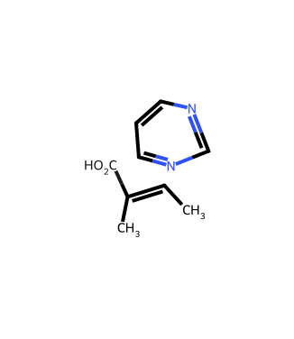 CC=C(C)C(=O)O.c1cncnc1